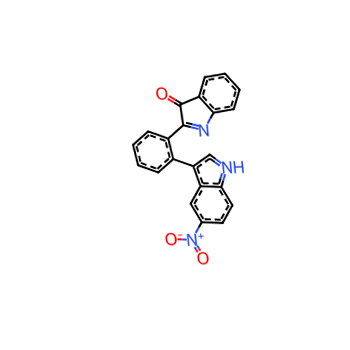 O=C1C(c2ccccc2-c2c[nH]c3ccc([N+](=O)[O-])cc23)=Nc2ccccc21